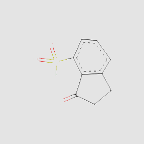 O=C1CCc2cccc(S(=O)(=O)Cl)c21